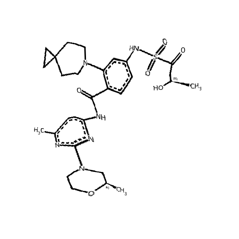 Cc1cc(NC(=O)c2ccc(NS(=O)(=O)C(=O)[C@@H](C)O)cc2N2CCC3(CC2)CC3)nc(N2CCO[C@H](C)C2)n1